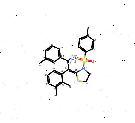 Cc1ccc(S(=O)(=O)N2CCSC2=C(c2cccc(C)c2C)C(N)c2cccc(C)c2)cc1